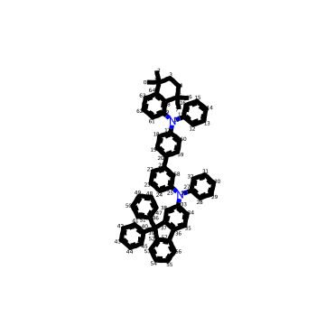 CC1(C)CCC(C)(C)c2c(N(c3ccccc3)c3ccc(-c4cccc(N(c5ccccc5)c5ccc6c(c5)C(c5ccccc5)(c5ccccc5)c5ccccc5-6)c4)cc3)cccc21